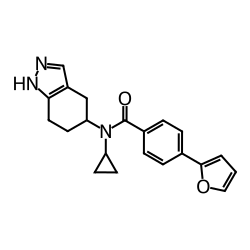 O=C(c1ccc(-c2ccco2)cc1)N(C1CC1)C1CCc2[nH]ncc2C1